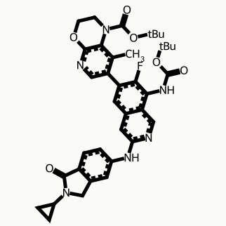 Cc1c(-c2cc3cc(Nc4ccc5c(c4)CN(C4CC4)C5=O)ncc3c(NC(=O)OC(C)(C)C)c2F)cnc2c1N(C(=O)OC(C)(C)C)CCO2